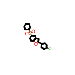 O=S(=O)(c1ccccc1)c1ccc2oc(-c3ccc(F)cc3)cc2c1